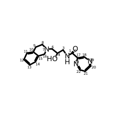 O=C(NCC(O)CN1CCc2ccccc2C1)C1=CN=C=CC=N1